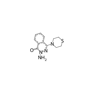 Nn1nc(N2CCSCC2)c2ccccc2c1=O